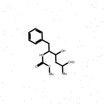 CCCCC([C]=O)CC(O)C(Cc1ccccc1)NC(=O)OC(C)(C)C